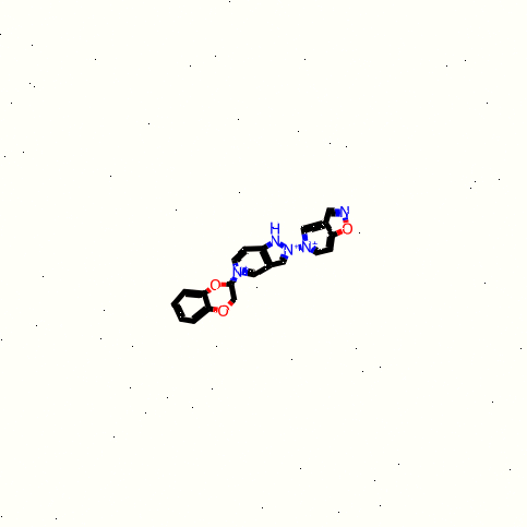 c1ccc2c(c1)OCC([n+]1ccc3[nH][n+](-[n+]4ccc5oncc5c4)cc3c1)O2